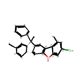 CC1=C[C@H](C(C)(c2ccccc2)c2ccc3oc4cc(Cl)cc(C)c4c3c2)CC=C1